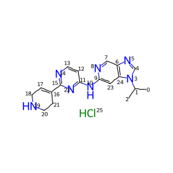 CC(C)n1cnc2cnc(Nc3ccnc(C4=CCNCC4)n3)cc21.Cl